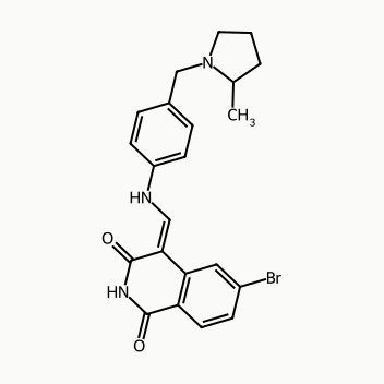 CC1CCCN1Cc1ccc(NC=C2C(=O)NC(=O)c3ccc(Br)cc32)cc1